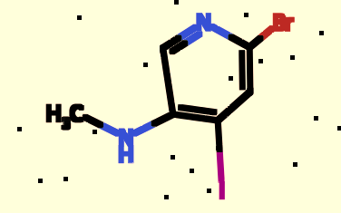 CNc1cnc(Br)cc1I